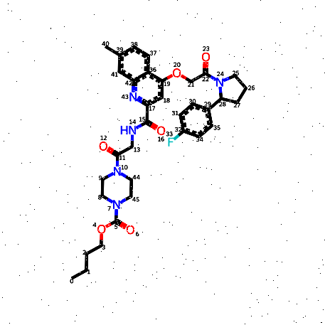 CCCCOC(=O)N1CCN(C(=O)CNC(=O)c2cc(OCC(=O)N3CCCC3c3ccc(F)cc3)c3ccc(C)cc3n2)CC1